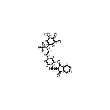 O=C1c2ccccc2C(=O)N1Nc1ccc(C=CC(c2cc(Cl)c(Cl)c(Cl)c2)C(F)(F)F)cc1